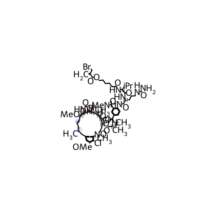 C=C(CBr)C(=O)OCCCCCC(=O)N[C@H](C(=O)N[C@@H](CCCNC(N)=O)C(=O)Nc1ccc(C(=O)N(C)[C@@H](C)C(=O)O[C@H]2CC(=O)N(C)c3cc(cc(OC)c3Cl)C/C(C)=C/C=C/[C@@H](OC)[C@@]3(O)C[C@H](OC(=O)N3)[C@@H](C)[C@@H]3O[C@@]23C)cc1C(=O)NC)C(C)C